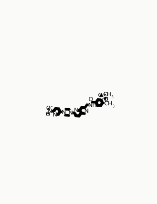 Cc1ccc(C(=O)NCc2cc3nc(N4CCN(c5ccc([N+](=O)[O-])nc5)CC4)ccc3cn2)cc1S(C)(=O)=O